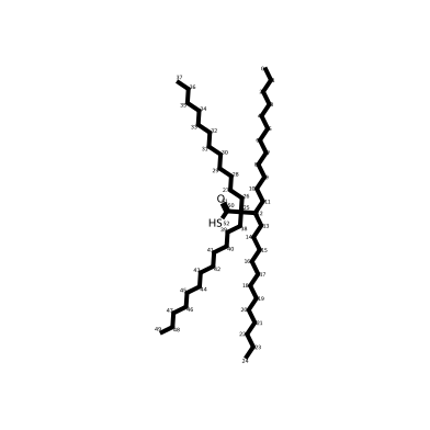 CCCCCCCCCCCCC(CCCCCCCCCCCC)C(CCCCCCCCCCCC)(CCCCCCCCCCCC)C(=O)S